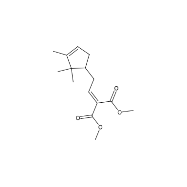 COC(=O)C(=CCC1CC=C(C)C1(C)C)C(=O)OC